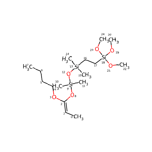 C/C=C(/OCCCC)O[Si](C)(C)O[Si](C)(C)CC[Si](OC)(OC)OC